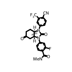 CNC(=O)c1ccc(N2C(=O)N(c3ccc(C#N)c(C(F)(F)F)c3)[C@@H]3CCC(=O)C[C@H]32)cc1F